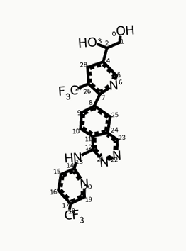 OCC(O)c1cnc(-c2ccc3c(Nc4ccc(C(F)(F)F)cn4)nncc3c2)c(C(F)(F)F)c1